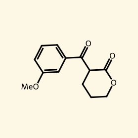 COc1cccc(C(=O)C2CCCOC2=O)c1